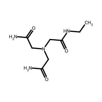 CCNC(=O)CN(CC(N)=O)CC(N)=O